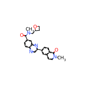 CN(C[C@@H]1CCO1)C(=O)c1ccc2ncc(-c3ccc4c(=O)n(C)ccc4c3)nc2c1